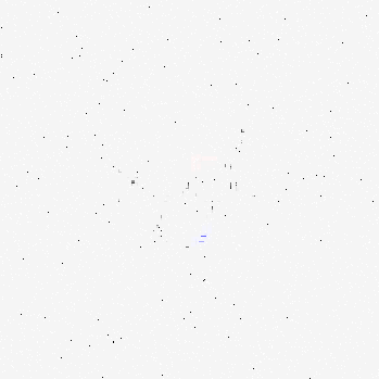 [2H]c1oc2c(C(C)(C)C)ccnc2c1[2H]